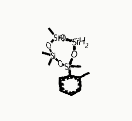 Cc1ccccc1[Si]1(C)O[SiH2]O[SiH](C)O[Si](C)(C)O1